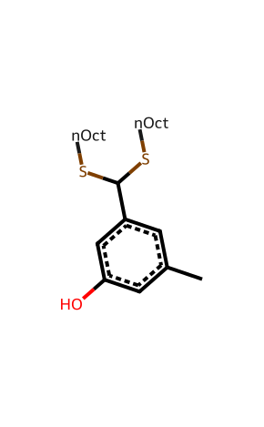 CCCCCCCCSC(SCCCCCCCC)c1cc(C)cc(O)c1